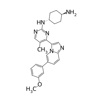 COc1cccc(-c2ccc3ncc(-c4nc(N[C@H]5CC[C@H](N)CC5)ncc4C)n3c2)c1